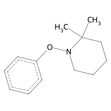 CC1(C)CCCCN1Oc1ccccc1